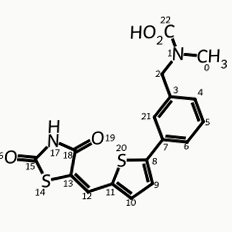 CN(Cc1cccc(-c2ccc(C=C3SC(=O)NC3=O)s2)c1)C(=O)O